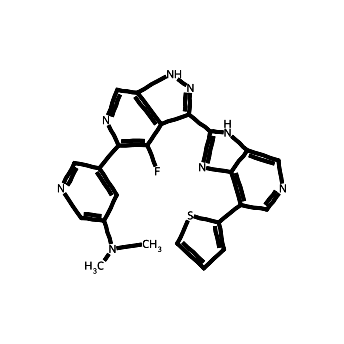 CN(C)c1cncc(-c2ncc3[nH]nc(-c4nc5c(-c6cccs6)cncc5[nH]4)c3c2F)c1